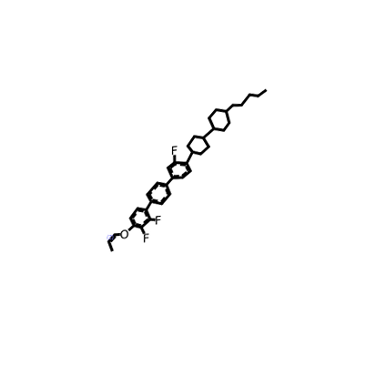 C/C=C\Oc1ccc(-c2ccc(-c3ccc(C4CCC(C5CCC(CCCCC)CC5)CC4)c(F)c3)cc2)c(F)c1F